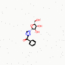 O=C(c1ccccc1)c1ncn([C@@H]2O[C@H](CO)[C@@H](O)[C@H]2O)n1